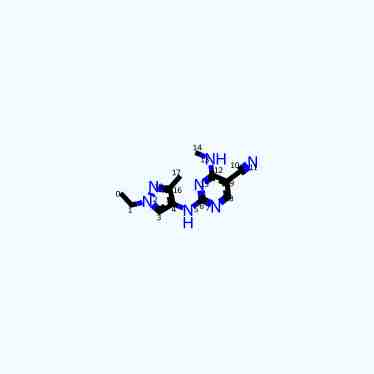 CCn1cc(Nc2ncc(C#N)c(NC)n2)c(C)n1